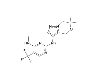 CNc1nc(Nc2cnn3c2COC(C)(C)C3)ncc1C(F)(F)F